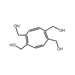 OCC1=C(CO)C=CC(CO)=C(CO)C=C1